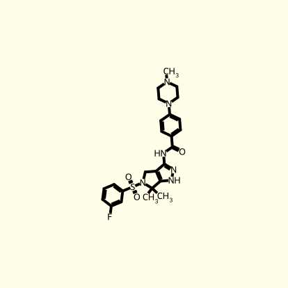 CN1CCN(c2ccc(C(=O)Nc3n[nH]c4c3CN(S(=O)(=O)c3cccc(F)c3)C4(C)C)cc2)CC1